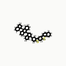 c1ccc2c(-c3c4ccccc4c(-c4ccc(-c5ccc6sc7cc8sc9c%10ccccc%10ccc9c8cc7c6c5)c5ccccc45)c4ccccc34)cccc2c1